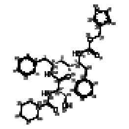 O=C(N[C@@H](CC[C@@H](Cc1ccccc1)NC(=O)[C@H](CO)NC(=O)N1CCCCC1)Cc1ccccc1)OCc1cncs1